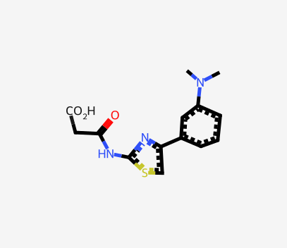 CN(C)c1cccc(-c2csc(NC(=O)CC(=O)O)n2)c1